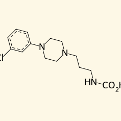 O=C(O)NCCCN1CCN(c2cccc(Cl)c2)CC1